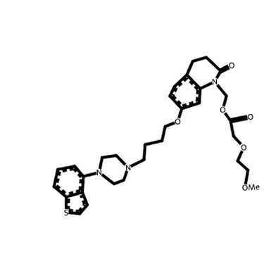 COCCOCC(=O)OCN1C(=O)CCc2ccc(OCCCCN3CCN(c4cccc5sccc45)CC3)cc21